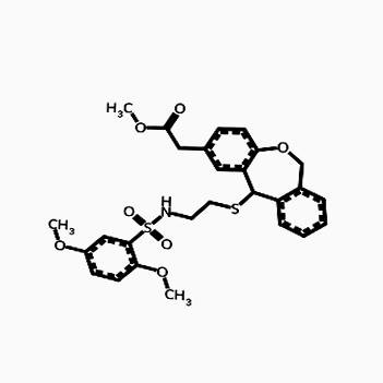 COC(=O)Cc1ccc2c(c1)C(SCCNS(=O)(=O)c1cc(OC)ccc1OC)c1ccccc1CO2